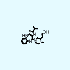 CC(C)c1nc2c(s1)Nc1ccccc1N=C2N1CCN(C)C(CCO)C1